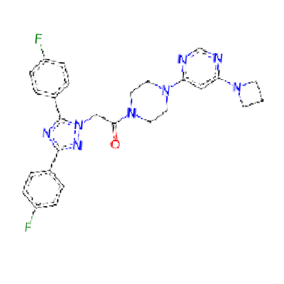 O=C(Cn1nc(-c2ccc(F)cc2)nc1-c1ccc(F)cc1)N1CCN(c2cc(N3CCC3)ncn2)CC1